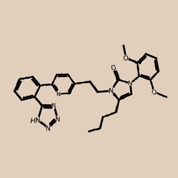 CCCCc1cn(-c2c(OC)cccc2OC)c(=O)n1CCc1ccc(-c2ccccc2-c2nnn[nH]2)nc1